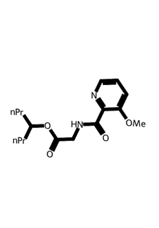 CCCC(CCC)OC(=O)CNC(=O)c1ncccc1OC